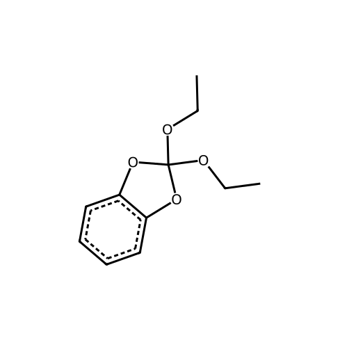 CCOC1(OCC)Oc2ccccc2O1